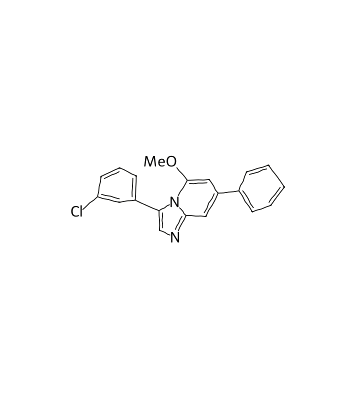 COc1cc(-c2ccccc2)cc2ncc(-c3cccc(Cl)c3)n12